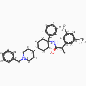 CC(C(=O)N[C@]1(c2ccccc2)CC[C@@H](C2CCN(Cc3ccccc3)CC2)CC1)c1cc(C(F)(F)F)cc(C(F)(F)F)c1